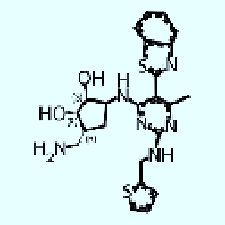 Cc1nc(NCc2cccs2)nc(NC2C[C@H](CN)[C@@H](O)[C@H]2O)c1-c1nc2ccccc2s1